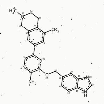 Cc1cc(-c2cnc(N)c(OCc3ccc4[nH]cnc4c3)n2)cc2c1CCN(C)C2